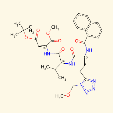 COCn1nnnc1CC[C@H](NC(=O)c1cccc2ccccc12)C(=O)N[C@H](C(=O)N[C@@H](CC(=O)OC(C)(C)C)C(=O)OC)C(C)C